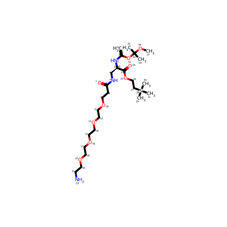 C=C(N[C@H](CNC(=O)CCOCCOCCOCCOCCN)C(=O)OCC[Si](C)(C)C)OC(C)(C)OC